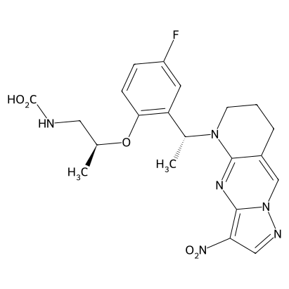 C[C@H](c1cc(F)ccc1O[C@@H](C)CNC(=O)O)N1CCCc2cn3ncc([N+](=O)[O-])c3nc21